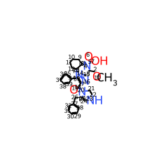 COCCN(C(=O)O)[C@H]1CCCC[C@@H]1n1cnc(C(=O)N2CCNC[C@H]2Cc2ccccc2)c1-c1ccccc1